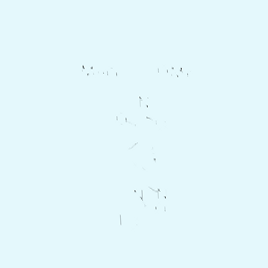 COCCN(CCOC)C(=O)C(=O)c1ccc(-c2noc(C(F)(F)F)n2)cc1